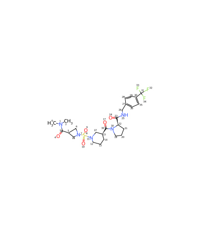 CN(C)C(=O)C1CN(S(=O)(=O)N2CCC[C@H](C(=O)N3CCC[C@@H]3C(=O)NCc3ccc(C(F)(F)F)cc3)C2)C1